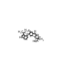 CC(C)c1c[nH]c2nccc(Oc3ccc(NC4=NC[C@](C)(CO)CO4)cc3F)c12